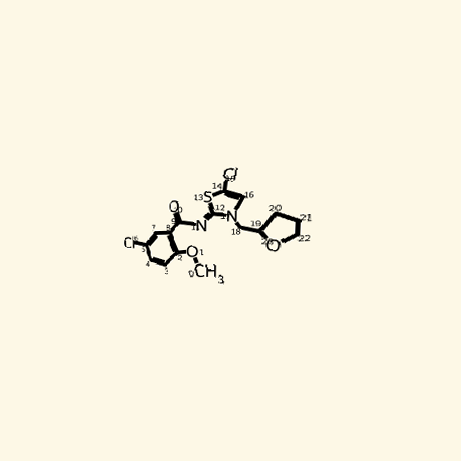 COc1ccc(Cl)cc1C(=O)/N=c1\sc(Cl)cn1CC1CCCO1